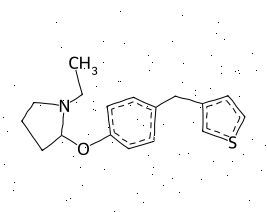 CCN1CCCC1Oc1ccc(Cc2ccsc2)cc1